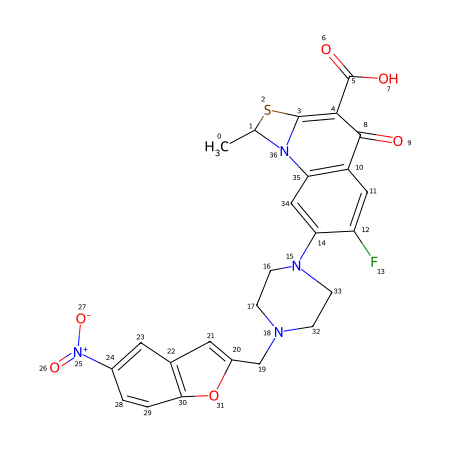 CC1Sc2c(C(=O)O)c(=O)c3cc(F)c(N4CCN(Cc5cc6cc([N+](=O)[O-])ccc6o5)CC4)cc3n21